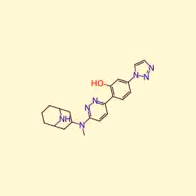 CN(c1ccc(-c2ccc(-n3ccnn3)cc2O)nn1)C1CC2CCCC(C1)N2